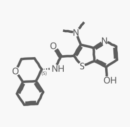 CN(C)c1c(C(=O)N[C@H]2CCOc3ccccc32)sc2c(O)ccnc12